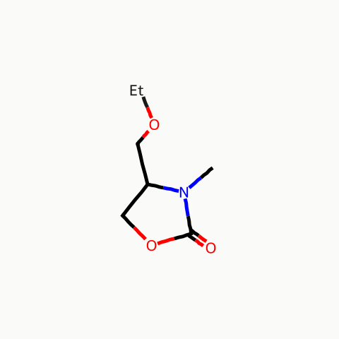 CCOCC1COC(=O)N1C